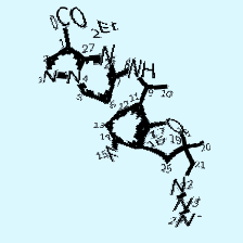 CCOC(=O)c1cnn2ccc(NC(C)c3ccc(F)c4c3OC(C)(CN=[N+]=[N-])C4)nc12